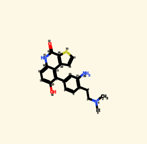 CCN(C)CCc1ccc(-c2c(O)ccc3[nH]c(=O)c4sccc4c23)cc1N